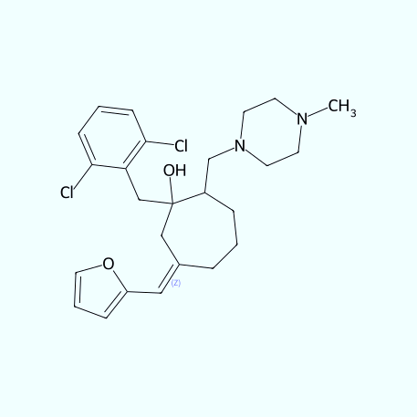 CN1CCN(CC2CCC/C(=C/c3ccco3)CC2(O)Cc2c(Cl)cccc2Cl)CC1